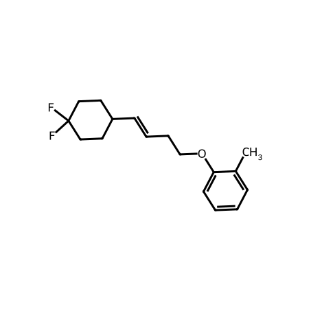 Cc1ccccc1OCCC=CC1CCC(F)(F)CC1